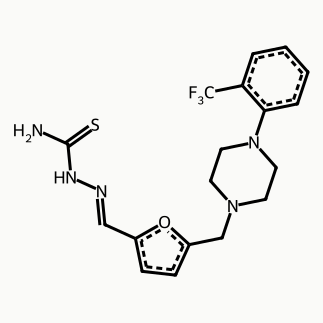 NC(=S)NN=Cc1ccc(CN2CCN(c3ccccc3C(F)(F)F)CC2)o1